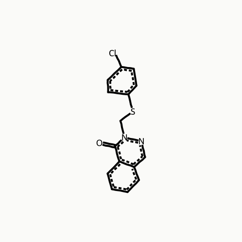 O=c1c2ccccc2cnn1CSc1ccc(Cl)cc1